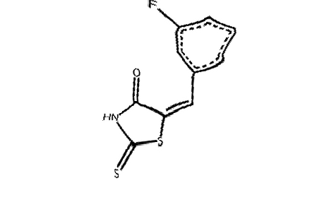 O=C1NC(=S)SC1=Cc1cccc(F)c1